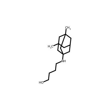 CC12CC3CC(C)(C1)CC(NCCCCO)(C3)C2